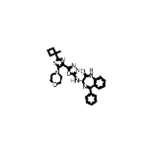 CC1(c2nc(-c3nnc(N[C@H]4N=C(c5ccccc5)c5ccccc5NC4=O)o3)c(N3CCOCC3)s2)CCC1